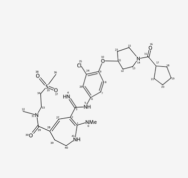 CNC1=C(C(=N)Nc2ccc(OC3CCN(C(=O)C4CCCC4)CC3)c(Cl)c2)C=C(C(=O)N(C)CCS(C)(=O)=O)CCN1